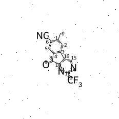 Cc1cc2c(cc1C#N)C(=O)c1nc(C(F)(F)F)ncc1-2